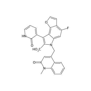 Cn1c(=O)cc(Cn2c(C(=O)O)c(-c3ccc[nH]c3=O)c3c4occc4c(F)cc32)c2ccccc21